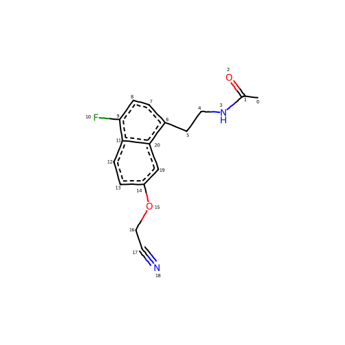 CC(=O)NCCc1ccc(F)c2ccc(OCC#N)cc12